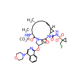 C[C@@H]1CCC=C[C@@H]2C[C@@]2(C(=O)NS(=O)(=O)C2(CF)CC2)NC(=O)[C@@H]2C[C@@H](Oc3ncc(N4CCOCC4)c4ccccc34)CN2C(=O)[C@@H](NC(=O)O)[C@H](C)C1